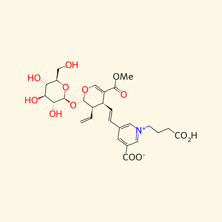 C=C[C@H]1[C@H](O[C@@H]2O[C@H](CO)[C@@H](O)[C@H](O)[C@H]2O)OC=C(C(=O)OC)[C@H]1/C=C/c1cc(C(=O)[O-])c[n+](CCCC(=O)O)c1